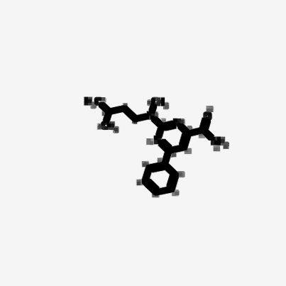 CC(C)CCN(C)c1nc(C(N)=O)cc(-c2ccccc2)n1